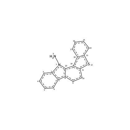 Nn1c2ccccc2c2ccc3sc4ccccc4c3c21